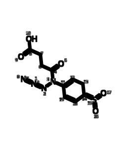 [N-]=[N+]=NN(C(=O)CCC(=O)O)C1=CCC(=S(=O)=O)C=C1